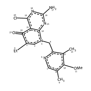 CCc1cn(Cc2ncc(C)c(OC)c2C)c2nc(N)nc(Cl)c2c1=O